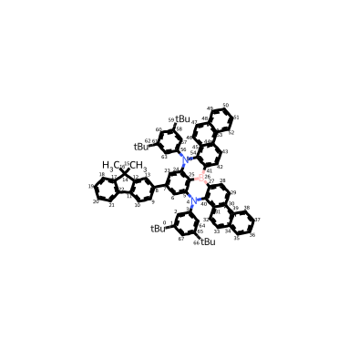 CC(C)(C)c1cc(N2c3cc(-c4ccc5c(c4)C(C)(C)c4ccccc4-5)cc4c3B(c3ccc5c(ccc6ccccc65)c32)c2ccc3c(ccc5ccccc53)c2N4c2cc(C(C)(C)C)cc(C(C)(C)C)c2)cc(C(C)(C)C)c1